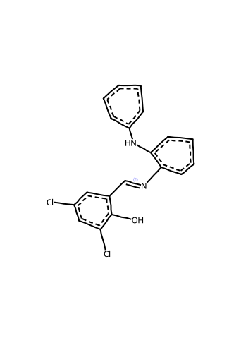 Oc1c(Cl)cc(Cl)cc1/C=N/c1ccccc1Nc1ccccc1